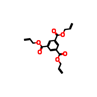 C=CCOC(=O)c1cc(C(=O)OCC=C)cc(C(=O)OCC=C)c1